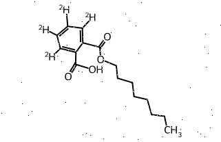 [2H]c1c([2H])c([2H])c(C(=O)OCCCCCCCC)c(C(=O)O)c1[2H]